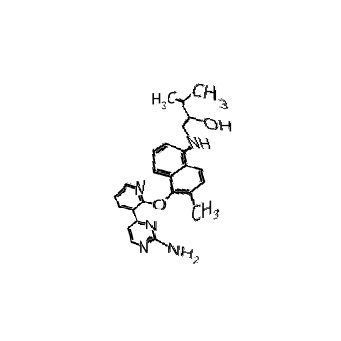 Cc1ccc2c(NCC(O)C(C)C)cccc2c1Oc1ncccc1-c1ccnc(N)n1